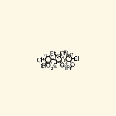 CCn1c(C)c(-c2cc(OC(C)C)c(Cl)cc2F)c(=O)c(C(=O)O)c1-c1ccc(Cl)c(Cl)c1